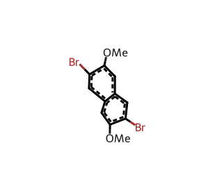 COc1cc2cc(Br)c(OC)cc2cc1Br